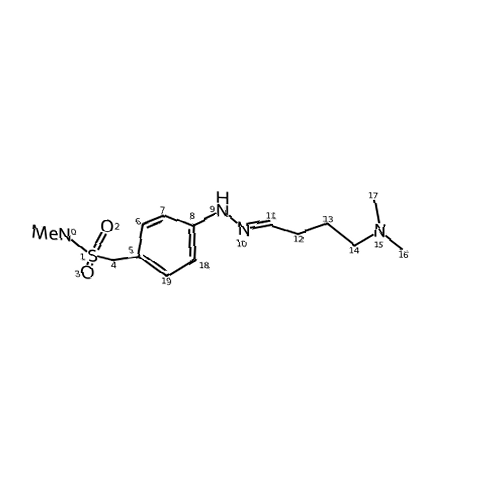 CNS(=O)(=O)Cc1ccc(NN=CCCCN(C)C)cc1